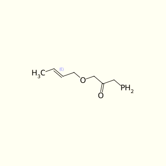 C/C=C/COCC(=O)CP